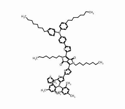 CCCCCCCCc1ccc(N(c2ccc(CCCCCCCC)cc2)c2ccc(-c3ccc(C4=C5C(=O)N(CCCCCCCC)C(c6ccc(-c7cc(B(c8c(C)cc(C)cc8C)c8c(C)cc(C)cc8C)c(-c8nccs8)s7)s6)=C5C(=O)N4CCCCCCCC)s3)cc2)cc1